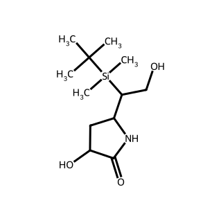 CC(C)(C)[Si](C)(C)C(CO)C1CC(O)C(=O)N1